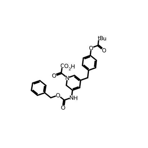 CC(C)(C)C(=O)Oc1ccc(CC2=CN(C(=O)C(=O)O)CC(NC(=O)OCc3ccccc3)=C2)cc1